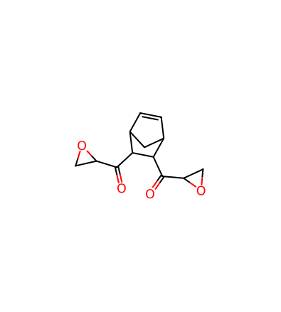 O=C(C1CO1)C1C2C=CC(C2)C1C(=O)C1CO1